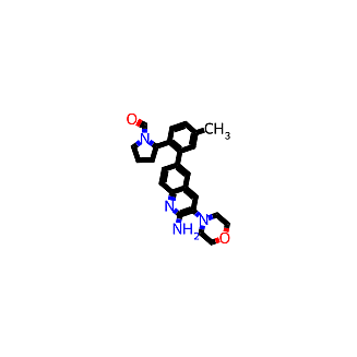 Cc1ccc(C2CCCN2C=O)c(-c2ccc3nc(N)c(N4CCOCC4)cc3c2)c1